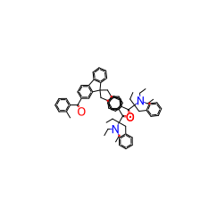 CCN(CC)C(CC)(Cc1ccccc1)C(=O)c1ccc(CC2(Cc3ccc(C(=O)C(CC)(Cc4ccccc4)N(CC)CC)cc3)c3ccccc3-c3ccc(C(=O)c4ccccc4C)cc32)cc1